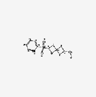 COC1CC2(C1)CC(S(=O)(=O)c1ccccn1)C2